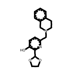 Oc1ccc(CN2CCc3ccccc3C2)nc1C1OCCO1